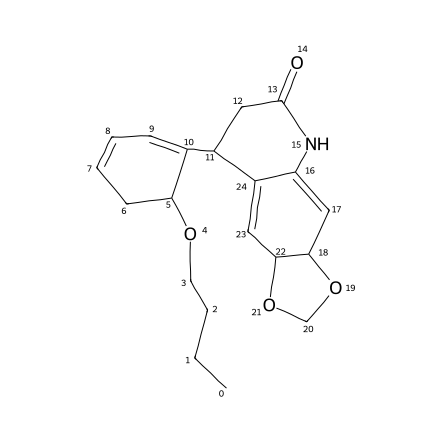 CCCCOC1CC=CC=C1C1CC(=O)NC2=CC3OCOC3C=C21